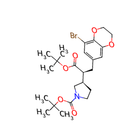 CC(C)(C)OC(=O)[C@@H](Cc1cc(Br)c2c(c1)OCCO2)[C@H]1CCN(C(=O)OC(C)(C)C)C1